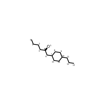 CCCCC(=O)CC1CCC(CCC)CC1